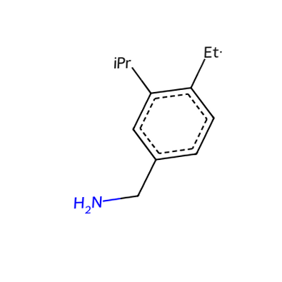 C[CH]c1ccc(CN)cc1C(C)C